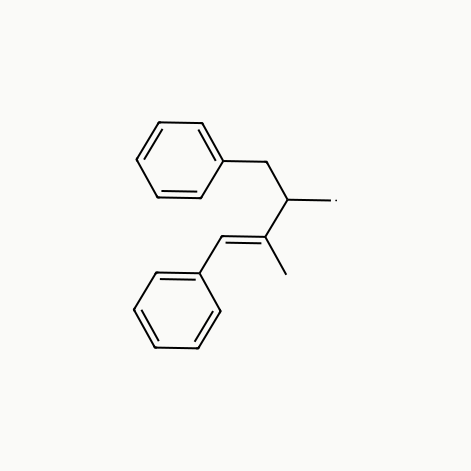 [CH2]C(Cc1ccccc1)C(C)=Cc1ccccc1